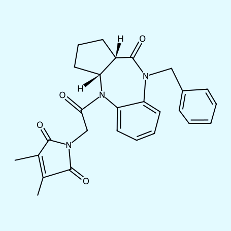 CC1=C(C)C(=O)N(CC(=O)N2c3ccccc3N(Cc3ccccc3)C(=O)[C@H]3CCC[C@H]32)C1=O